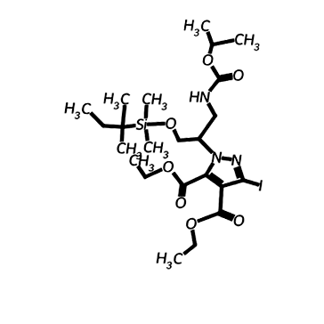 CCOC(=O)c1c(I)nn(C(CNC(=O)OC(C)C)CO[Si](C)(C)C(C)(C)CC)c1C(=O)OCC